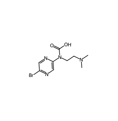 CN(C)CCN(C(=O)O)c1cnc(Br)cn1